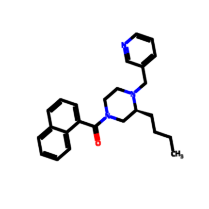 CCCC[C@H]1CN(C(=O)c2cccc3ccccc23)CCN1Cc1cccnc1